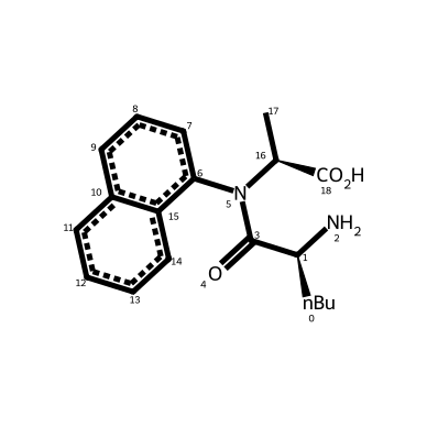 CCCC[C@H](N)C(=O)N(c1cccc2ccccc12)[C@@H](C)C(=O)O